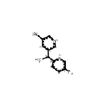 CC(C)c1cncc(C(C)c2ccc(F)cn2)c1